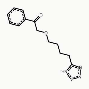 O=C(COCCCCc1nnn[nH]1)c1ccccc1